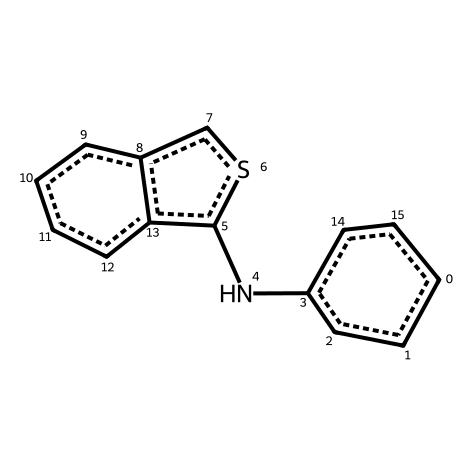 c1ccc(Nc2scc3ccccc23)cc1